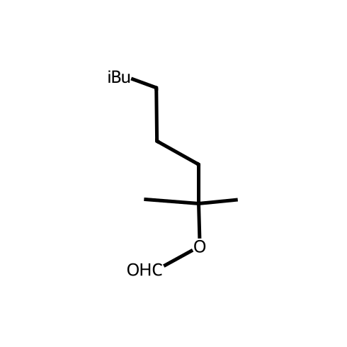 CCC(C)CCCC(C)(C)OC=O